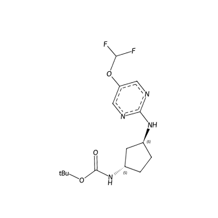 CC(C)(C)OC(=O)N[C@H]1CC[C@H](Nc2ncc(OC(F)F)cn2)C1